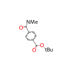 CNC(=O)c1ccc(C(=O)OC(C)(C)C)cc1